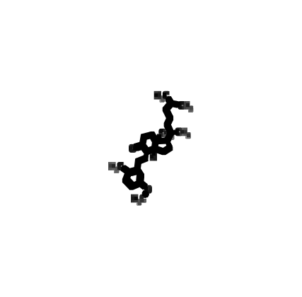 COc1ccc(C)c(CC[C@H]2C(=O)CC[C@]3(C)[C@@H]([C@H](C)CCCC(C)C)CC[C@@H]23)c1